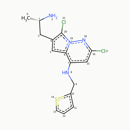 C[C@H](N)Cc1cc2c(NCc3cccs3)cc(Cl)nn2c1Cl